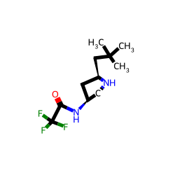 CC(C)(C)C[C@@H]1C[C@H](NC(=O)C(F)(F)F)CN1